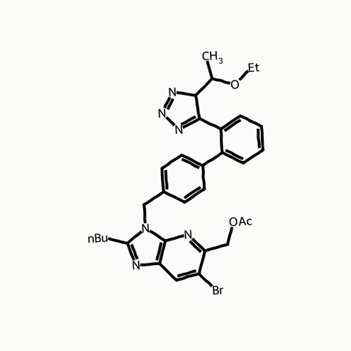 CCCCc1nc2cc(Br)c(COC(C)=O)nc2n1Cc1ccc(-c2ccccc2C2=NN=NC2C(C)OCC)cc1